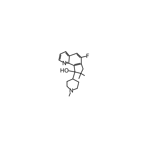 CN1CCC(C2(O)c3c(c(F)cc4cccnc34)CC2(C)C)CC1